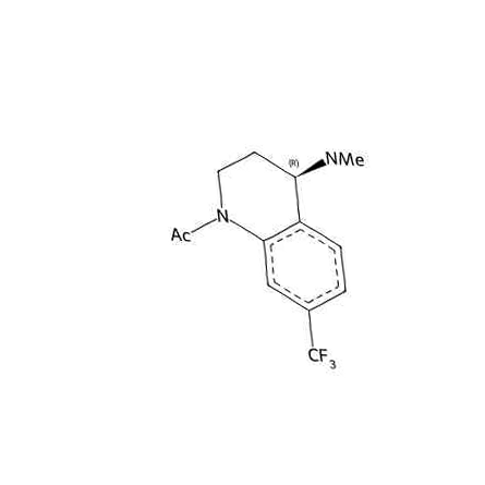 CN[C@@H]1CCN(C(C)=O)c2cc(C(F)(F)F)ccc21